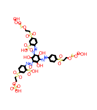 O=S(=O)(O)OCCS(=O)(=O)c1ccc(/N=N/c2c(O)c(/N=N/c3ccc(S(=O)(=O)CCOSOOO)cc3)c(O)c(/N=N/c3ccc(S(=O)(=O)CCOSOOO)cc3S(=O)(=O)O)c2O)c(S(=O)(=O)O)c1